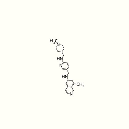 Cc1cc(NCc2ccc(NCC3CCN(C)CC3)nc2)cc2ccncc12